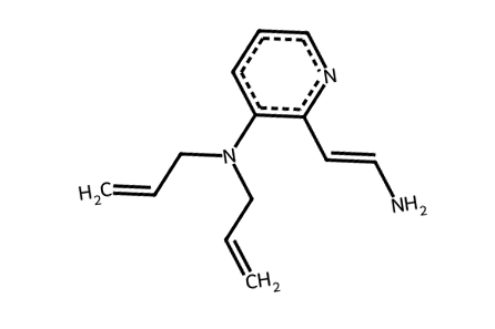 C=CCN(CC=C)c1cccnc1C=CN